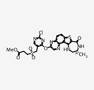 COC(=O)CCS(=O)(=O)Cc1cnc(Cl)nc1Oc1cnc2c(ccc3sc4c(c32)NC[C@@H](C)NC4=O)n1